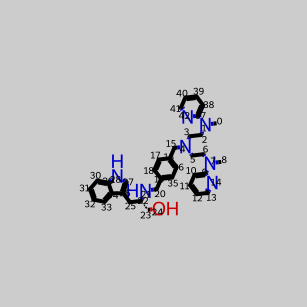 CN(CCN(CCN(C)c1ccccn1)Cc1ccc(CN[C@H](CO)Cc2c[nH]c3ccccc23)cc1)c1ccccn1